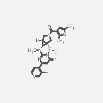 Cc1oc(C(F)(F)F)cc1C(=O)N1C[C@@H]2[C@H](C1)[C@H]2N(C)c1nc(-c2ccncc2F)cc(=O)n1C